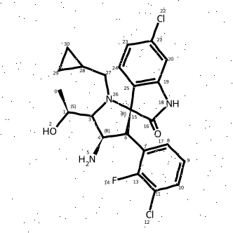 C[C@H](O)C1[C@H](N)C(c2cccc(Cl)c2F)[C@@]2(C(=O)Nc3cc(Cl)ccc32)N1CC1CC1